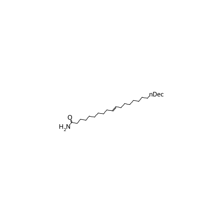 CCCCCCCCCCCCCCCCCC=CCCCCCCCCC(N)=O